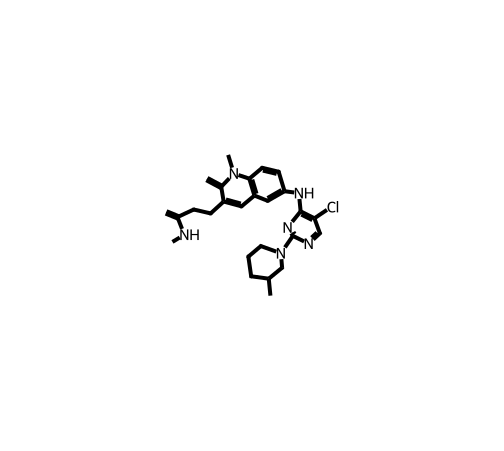 C=C(CCC1=Cc2cc(Nc3nc(N4CCCC(C)C4)ncc3Cl)ccc2N(C)C1=C)NC